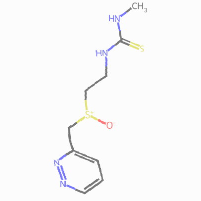 CNC(=S)NCC[S+]([O-])Cc1cccnn1